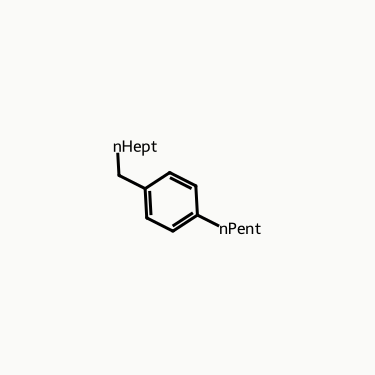 CCCCCCCCc1ccc(CCCCC)cc1